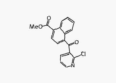 COC(=O)c1ccc(C(=O)c2cccnc2Cl)c2ccccc12